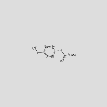 COC(=O)Cc1ncc(CN)cn1